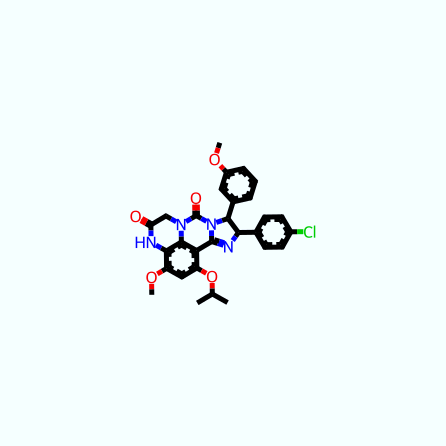 COc1cccc(C2C(c3ccc(Cl)cc3)N=C3c4c(OC(C)C)cc(OC)c5c4N(CC(=O)N5)C(=O)N32)c1